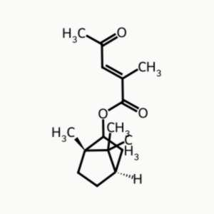 CC(=O)C=C(C)C(=O)OC1C[C@H]2CC[C@@]1(C)C2(C)C